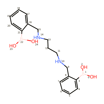 OB(O)c1ccccc1CNCCCNCc1ccccc1B(O)O